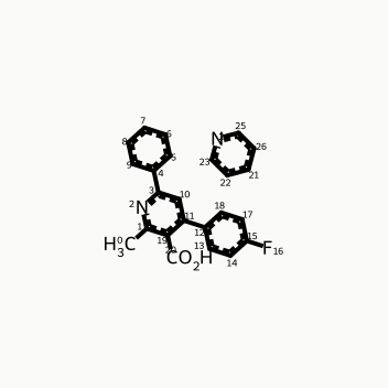 Cc1nc(-c2ccccc2)cc(-c2ccc(F)cc2)c1C(=O)O.c1ccncc1